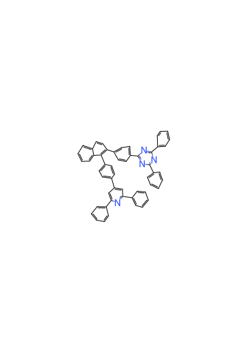 c1ccc(-c2cc(-c3ccc(-c4c(-c5ccc(-c6nc(-c7ccccc7)nc(-c7ccccc7)n6)cc5)ccc5ccccc45)cc3)cc(-c3ccccc3)n2)cc1